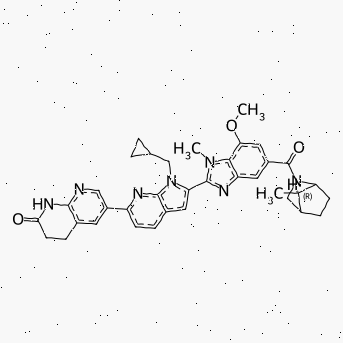 COc1cc(C(=O)N2CC3CCC2[C@@H]3C)cc2nc(-c3cc4ccc(-c5cnc6c(c5)CCC(=O)N6)nc4n3CC3CC3)n(C)c12